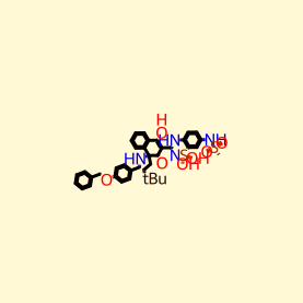 CC(C)(C)CCC1(NCc2ccc(OCc3ccccc3)cc2)C(=O)C(C2=NS(O)(O)c3cc(NS(C)(=O)=O)ccc3N2)=C(O)c2ccccc21